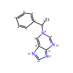 [CH2]CC(c1ccccc1)n1cnc2ncnc-2c1